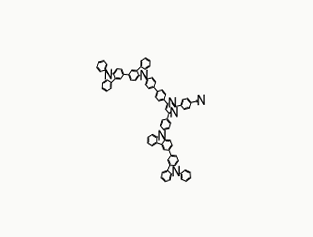 N#Cc1ccc(-c2nc(-c3ccc(-c4ccc(-n5c6ccccc6c6cc(-c7ccc8c(c7)c7ccccc7n8-c7ccccc7)ccc65)cc4)cc3)cc(-c3ccc(-n4c5ccccc5c5cc(-c6ccc7c(c6)c6ccccc6n7-c6ccccc6)ccc54)cc3)n2)cc1